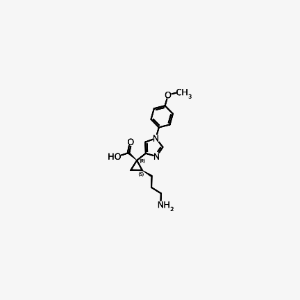 COc1ccc(-n2cnc([C@@]3(C(=O)O)C[C@@H]3CCCN)c2)cc1